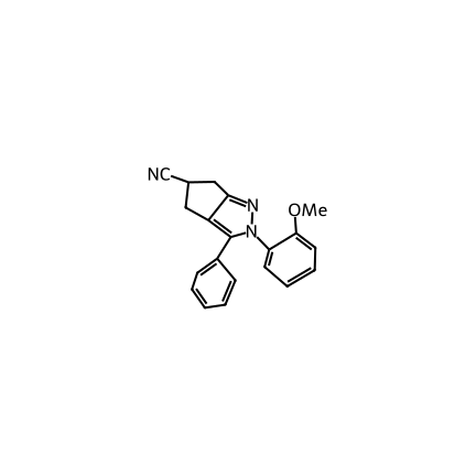 COc1ccccc1-n1nc2c(c1-c1ccccc1)CC(C#N)C2